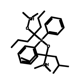 CCCC(CC(C)C)(O[Si](c1ccccc1)(c1ccccc1)C(CCC)(CCC)O[SiH](C)C)[SiH](C)C